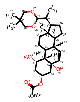 COC(=O)O[C@H]1C[C@H](O)[C@]2(C)[C@H]3CC[C@]4(C)[C@@H](C(C)C5OCC(C)(C)CO5)CC[C@H]4[C@@H]3C=C[C@@]2(O)C1